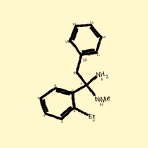 CCc1ccccc1C(N)(Cc1ccccc1)NC